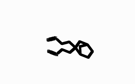 O=NCCC1(CCN=O)CC2CCC1C2